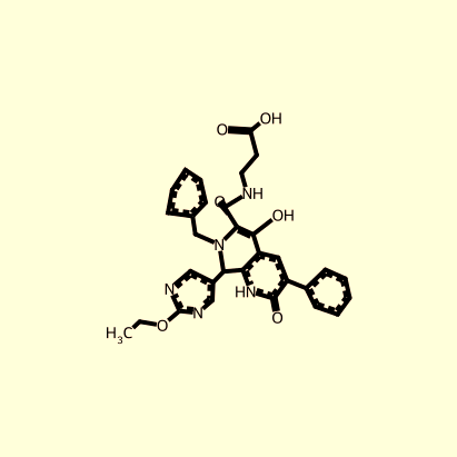 CCOc1ncc(C2c3[nH]c(=O)c(-c4ccccc4)cc3C(O)=C(C(=O)NCCC(=O)O)N2Cc2ccccc2)cn1